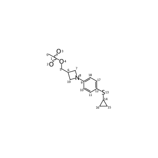 CS(=O)(=O)OCC1CN(c2ccc(SC3CC3)cc2)C1